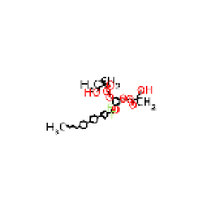 C=C(CO)C(=C)C(=O)OCOc1cc(OCOC(=O)C(=C)CCO)cc(OC(F)(F)c2ccc(-c3ccc(C4CCC(CCCCC)CC4)cc3)cc2)c1